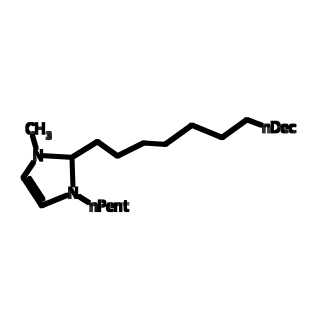 CCCCCCCCCCCCCCCCCC1N(C)C=CN1CCCCC